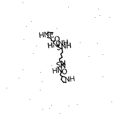 N=C(CCCCc1nnc(NC(=O)CC2CCCNC2)s1)SC(=N)NC(=O)CC1CCCNC1